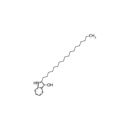 CCCCCCCCCCCCCCCCCCc1[nH]c2ccccc2c1O